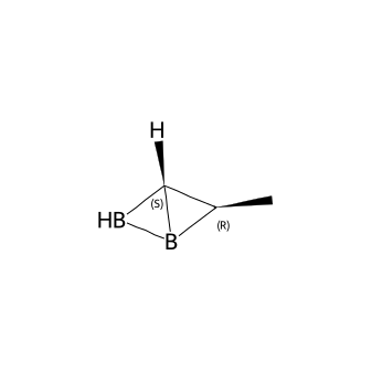 C[C@H]1B2B[C@@H]21